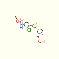 CC(C)(CO)c1cc(-c2cc(-c3ccc(NC(=O)OC4CC4)cc3Cl)cs2)ccn1